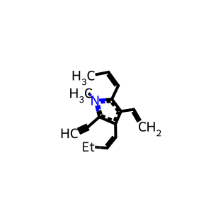 C#Cc1c(/C=C\CC)c(C=C)c(/C=C\C)n1C